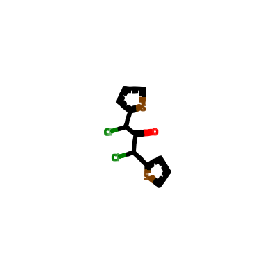 O=C(C(Cl)c1cccs1)C(Cl)c1cccs1